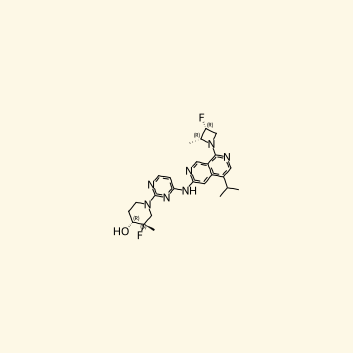 CC(C)c1cnc(N2C[C@@H](F)[C@H]2C)c2cnc(Nc3ccnc(N4CC[C@@H](O)[C@@](C)(F)C4)n3)cc12